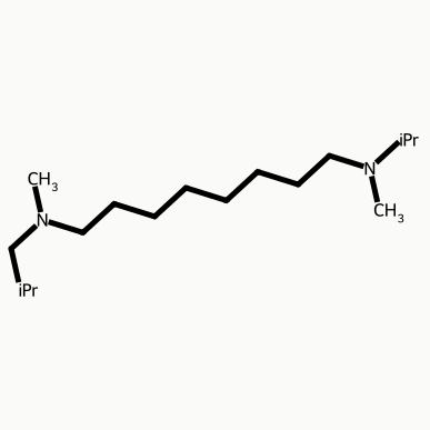 CC(C)CN(C)CCCCCCCCN(C)C(C)C